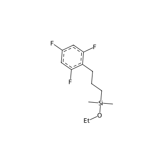 CCO[Si](C)(C)CCCc1c(F)cc(F)cc1F